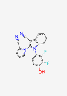 N#Cc1c(-n2cccc2C#N)n(-c2ccc(O)c(F)c2F)c2ccccc12